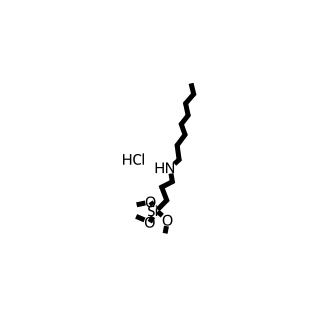 CCCCCCCCNCCC[Si](OC)(OC)OC.Cl